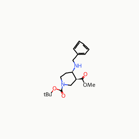 COC(=O)[C@H]1CN(C(=O)OC(C)(C)C)CC[C@H]1NCc1ccccc1